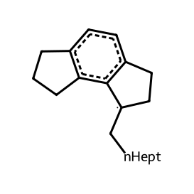 CCCCCCCC[C]1CCc2ccc3c(c21)CCC3